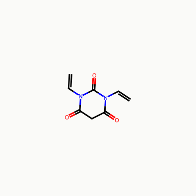 C=CN1C(=O)CC(=O)N(C=C)C1=O